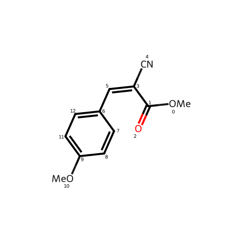 COC(=O)C(C#N)=Cc1ccc(OC)cc1